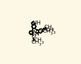 CC(C)COc1cccc2c3cc4cc[nH]c4cc3c3c4c(nn3c12)CCN(CC(C)(C)C)C4